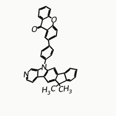 CC1(C)c2ccccc2-c2cc3c(cc21)c1ccncc1n3-c1ccc(-c2ccc3oc4ccccc4c(=O)c3c2)cc1